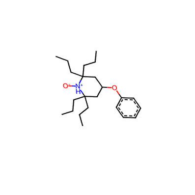 CCCC1(CCC)CC(Oc2ccccc2)CC(CCC)(CCC)[NH+]1[O-]